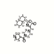 O=C1OC(c2cccc3ccccc23)=NC1=CN1CCN(C(=O)c2ccncc2)CC1